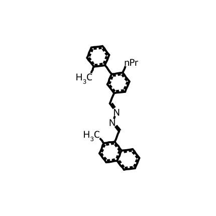 CCCc1ccc(/C=N/N=C/c2c(C)ccc3ccccc23)cc1-c1ccccc1C